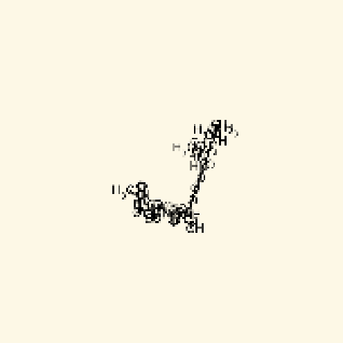 CCc1c2c(nc3ccccc13)-c1cc3c(c(=O)n1C2)COC(=O)[C@@]3(CC)OC(=O)[C@H](C)NC(=O)[C@@H]1CCCN1C(=O)[C@H](CC(=O)O)NC(=O)CCOCCOCCOCCNC(=O)[C@H](CCCCNC(=O)OC(C)(C)C)NC(=O)OC(C)(C)C